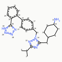 CC(C)c1nc(CC2CCC(N)CC2)n(Cc2ccc(-c3ccccc3-c3nnn[nH]3)cc2)n1